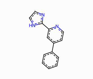 [c]1c[nH]c(-c2cc(-c3ccccc3)ccn2)n1